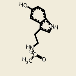 C[13C](=O)NCCc1c[nH]c2ccc(O)cc12